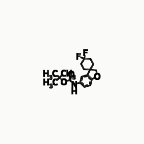 CC(C)(C)OC(=O)Nc1ccc2c(c1)C1(CCC(F)(F)CC1)CO2